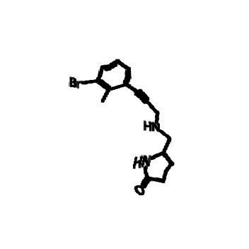 Cc1c(Br)cccc1C#CCNCC1CCC(=O)N1